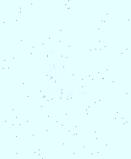 COc1ccc2c(c1)/C(=C/C(=O)c1cccc(NS(=O)(=O)c3ccc(-c4ccccc4)cc3)c1)NC(C)(C)C2